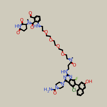 CN(CCOCCOCCOCCOCCNc1cccc(C=O)c1C(=O)N(C)C1CCC(=O)NC1=O)C(=O)CCNc1nc(N2CCN(C(N)=O)CC2)c2cc(Cl)c(-c3cc(O)cc4ccccc34)c(F)c2n1